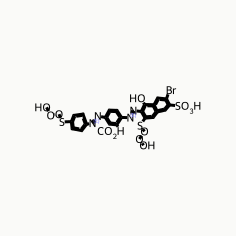 O=C(O)c1cc(/N=N/c2ccc(SOOO)cc2)ccc1/N=N/c1c(SOOO)cc2cc(S(=O)(=O)O)c(Br)cc2c1O